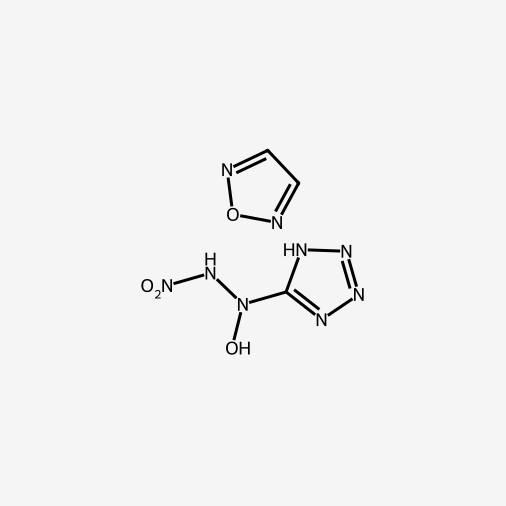 O=[N+]([O-])NN(O)c1nnn[nH]1.c1cnon1